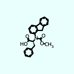 COC(=O)N(c1cccc2c1Cc1ccccc1-2)[C@@H](Cc1ccccc1)C(=O)O